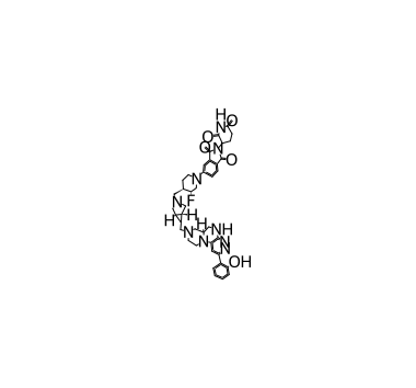 O=C1CCC(N2C(=O)c3ccc(N4CC[C@H](CN5C[C@@H]6C(CN7CCN8c9cc(-c%10ccccc%10O)nnc9NC[C@H]8C7)[C@@H]6C5)[C@@H](F)C4)cc3C2=O)C(=O)N1